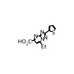 CCc1cc(C(=O)O)nc2nc(-c3cccs3)nn12